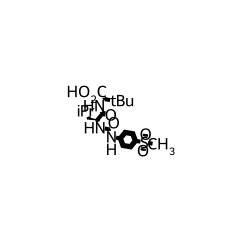 CC(C)C[C@H](NC(=O)Nc1ccc(S(C)(=O)=O)cc1)C(=O)NC(C(=O)O)C(C)(C)C